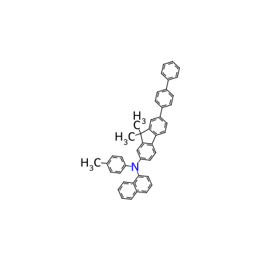 Cc1ccc(N(c2ccc3c(c2)C(C)(C)c2cc(-c4ccc(-c5ccccc5)cc4)ccc2-3)c2cccc3ccccc23)cc1